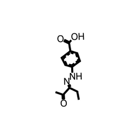 CC/C(=N\Nc1ccc(C(=O)O)cc1)C(C)=O